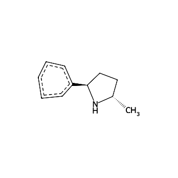 C[C@H]1CC[C@H](c2ccccc2)N1